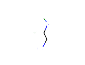 Cl.NCCNCl